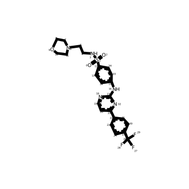 O=S(=O)(NCCN1CCOCC1)c1ccc(Nc2nccc(-c3ccc(C(F)(F)F)cc3)n2)cc1